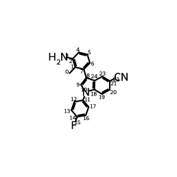 Cc1c(N)cccc1-c1cn(-c2ccc(F)cc2)c2ccc(C#N)cc12